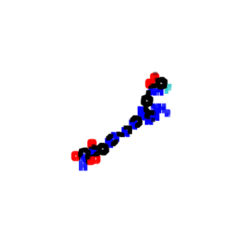 COc1ccc(F)cc1C(=O)NCc1ccc(-c2nn(C3CCN(C4CN(CCN5CCN(c6ccc7c(c6)C(=O)N([C@H]6CCC(=O)NC6=O)C7=O)CC5)C4)CC3)c3ncnc(N)c23)cc1